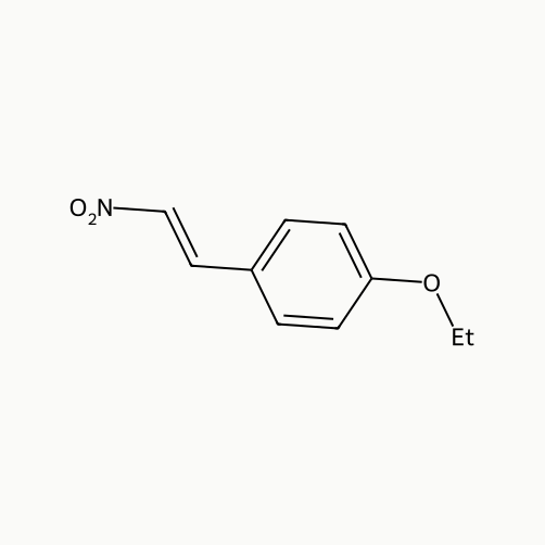 CCOc1ccc(C=C[N+](=O)[O-])cc1